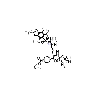 CCOC(=O)N1CCN(C(=O)[C@H](CCCN/C(N)=N/S(=O)(=O)c2c(C)c(C)c3c(c2C)CC(C)O3)NC(=O)OC(C)(C)C)CC1